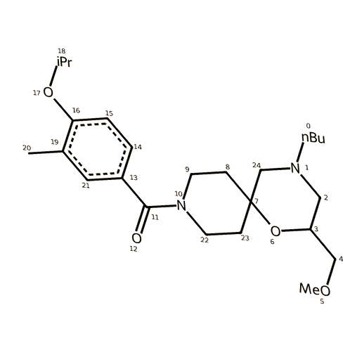 CCCCN1CC(COC)OC2(CCN(C(=O)c3ccc(OC(C)C)c(C)c3)CC2)C1